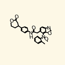 CON(c1ccccc1C)c1c(CC(=O)Nc2ccc(C3CCCOC(=O)C3)cc2)ccc2ncoc12